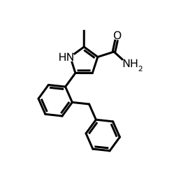 Cc1[nH]c(-c2ccccc2Cc2ccccc2)cc1C(N)=O